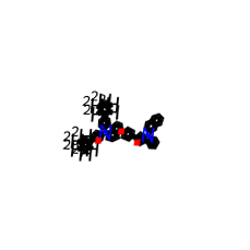 [2H]c1c([2H])c([2H])c(-c2ccc(N(c3ccc(-c4c([2H])c([2H])c([2H])c([2H])c4[2H])cc3)c3cccc4c(-c5ccc(-c6ccc7c8ccccc8n(-c8ccc9ccccc9c8)c7c6)cc5)cccc34)cc2)c([2H])c1[2H]